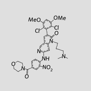 COc1cc(OC)c(Cl)c(-c2cc3cnc(Nc4ccc(C(=O)N5CCOCC5)cc4[N+](=O)[O-])cc3n(CCCN(C)C)c2=O)c1Cl